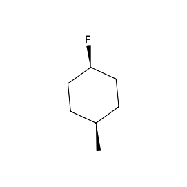 C[C@H]1CC[C@@H](F)CC1